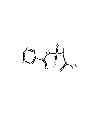 NC(=O)NS(=O)(=O)OC(=O)c1ccccc1